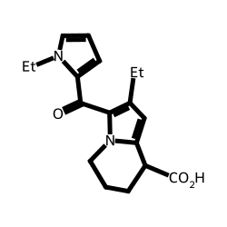 CCc1cc2n(c1C(=O)c1cccn1CC)CCCC2C(=O)O